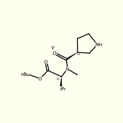 CCCCOC(=O)[C@H](C(C)C)N(C)C(=O)[C@H]1CCNC1.[V]